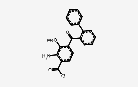 COc1c(C(=O)c2ccccc2-c2ccccc2)ccc(C(=O)Cl)c1N